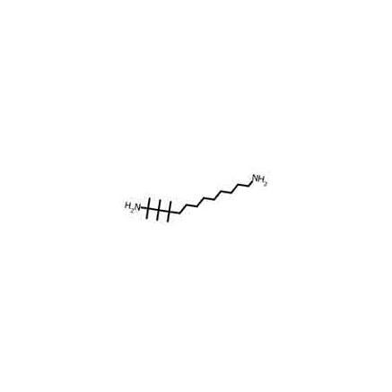 CC(C)(N)C(C)(C)C(C)(C)CCCCCCCCCN